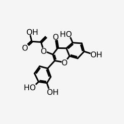 C=C(Oc1c(-c2ccc(O)c(O)c2)oc2cc(O)cc(O)c2c1=O)C(=O)O